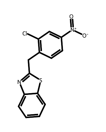 O=[N+]([O-])c1ccc(Cc2nc3ccccc3s2)c(Cl)c1